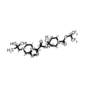 CC(C)(O)CN1CCn2c(nnc2C(=O)NC2(C)CCN(C(=O)OC(C(F)(F)F)C(F)(F)F)CC2)C1